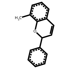 Cc1cccc2c1OC(c1ccccc1)C=C2